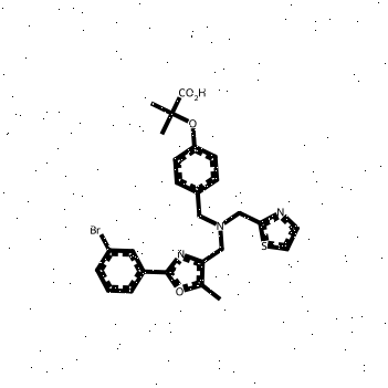 Cc1oc(-c2cccc(Br)c2)nc1CN(Cc1ccc(OC(C)(C)C(=O)O)cc1)Cc1nccs1